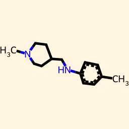 Cc1ccc(NCC2CCN(C)CC2)cc1